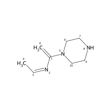 C=C(/N=C\C)N1CCNCC1